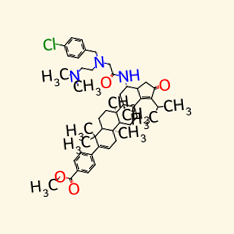 COC(=O)c1ccc(C2=CC[C@@]3(C)C(CC[C@]4(C)C3CCC3C5=C(C(C)C)C(=O)CC5[C@@H](NC(=O)CN(CCN(C)C)Cc5ccc(Cl)cc5)C[C@]34C)C2(C)C)cc1